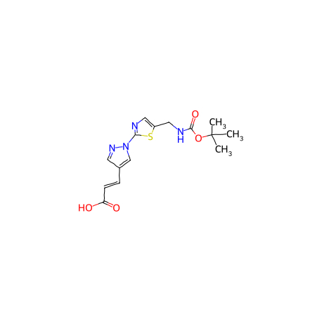 CC(C)(C)OC(=O)NCc1cnc(-n2cc(C=CC(=O)O)cn2)s1